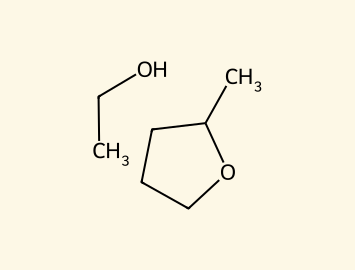 CC1CCCO1.CCO